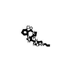 C=CCNCc1nc(-c2ncn3c2[C@@H]2CCN2C(=O)c2c(Cl)cccc2-3)no1